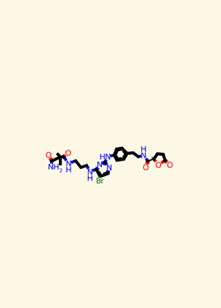 CC(C)(C(N)=O)C(=O)NCCCNc1nc(Nc2ccc(CCNC(=O)[C@H]3CCC(=O)O3)cc2)ncc1Br